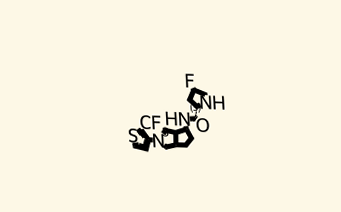 O=C(NC1CCC2CN(c3ccsc3C(F)(F)F)CC21)[C@@H]1CC(F)CN1